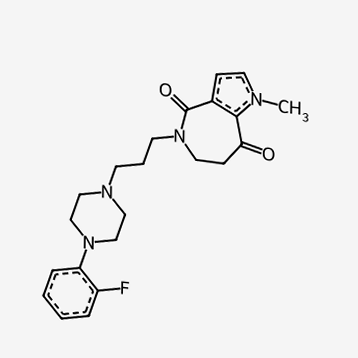 Cn1ccc2c1C(=O)CCN(CCCN1CCN(c3ccccc3F)CC1)C2=O